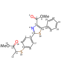 COC(=O)c1nc(-c2ccc(SC(C)C(=O)OC)cc2)sc1-c1ccccc1